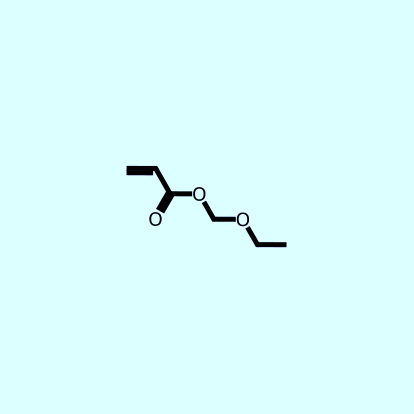 C=CC(=O)OCOCC